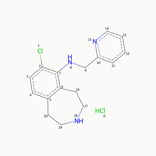 Cl.Clc1ccc2c(c1NCc1ccccn1)CCNCC2